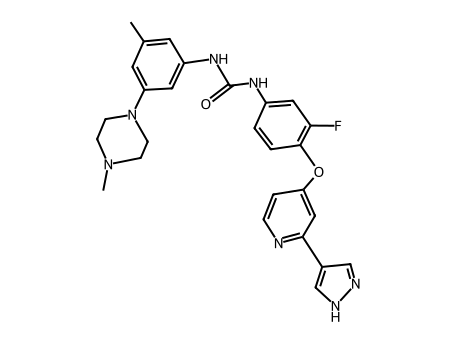 Cc1cc(NC(=O)Nc2ccc(Oc3ccnc(-c4cn[nH]c4)c3)c(F)c2)cc(N2CCN(C)CC2)c1